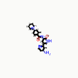 Nc1ccnc(-c2c[nH]c(=O)c(NC(=O)c3ccc(N4CCCCC4)cc3)c2)c1